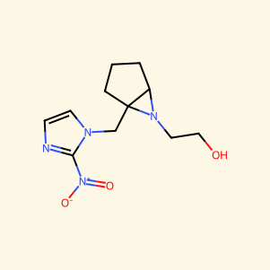 O=[N+]([O-])c1nccn1CC12CCCC1N2CCO